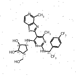 Cc1nc(N[C@H](c2ccc(C(F)(F)F)cc2)C(F)(F)F)nc(N[C@@H]2C[C@H](CO)[C@@H](O)[C@H]2O)c1-c1nc2c(C)nccc2s1